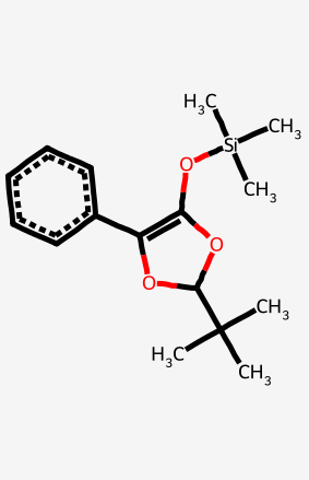 CC(C)(C)C1OC(O[Si](C)(C)C)=C(c2ccccc2)O1